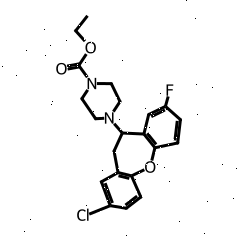 CCOC(=O)N1CCN(C2Cc3cc(Cl)ccc3Oc3ccc(F)cc32)CC1